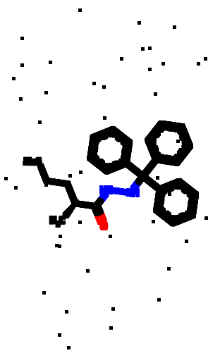 CSCC[C@H](C)C(=O)NNC(c1ccccc1)(c1ccccc1)c1ccccc1